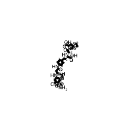 C[C@H](N[C@@H](CCc1ccc(NC(=O)CC2Nc3cc(Cl)c(S(N)(=O)=O)cc3S(=O)(=O)N2)cc1)C(=O)O)C(=O)N1CC2(CC1C(=O)O)SCCS2